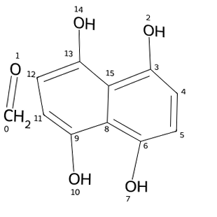 C=O.Oc1ccc(O)c2c(O)ccc(O)c12